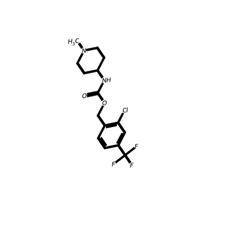 CN1CCC(NC(=O)OCc2ccc(C(F)(F)F)cc2Cl)CC1